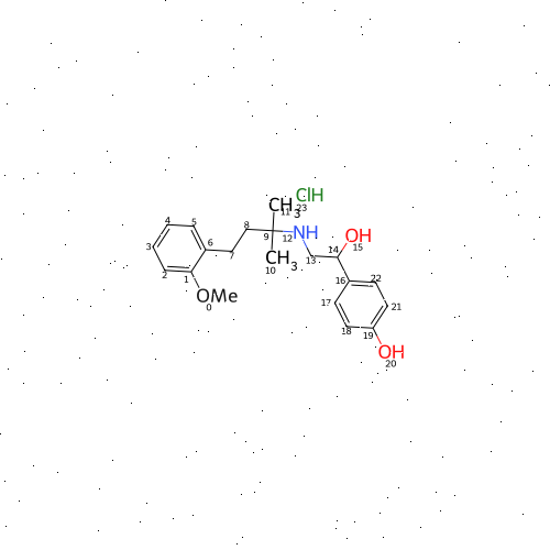 COc1ccccc1CCC(C)(C)NCC(O)c1ccc(O)cc1.Cl